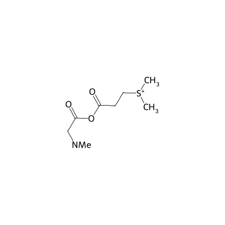 CNCC(=O)OC(=O)CC[S+](C)C